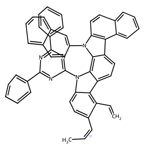 C=Cc1c(/C=C\C)ccc2c1c1ccc3c4c5ccccc5ccc4n(-c4ccc5ccccc5c4)c3c1n2-c1nc(-c2ccccc2)nc(-c2ccccc2)n1